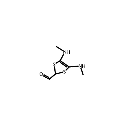 CNC1=C(NC)SC(C=O)S1